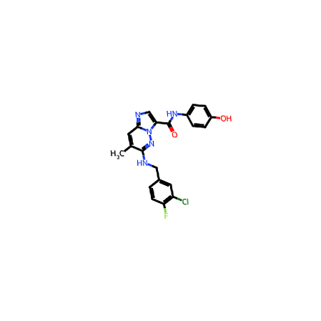 Cc1cc2ncc(C(=O)Nc3ccc(O)cc3)n2nc1NCc1ccc(F)c(Cl)c1